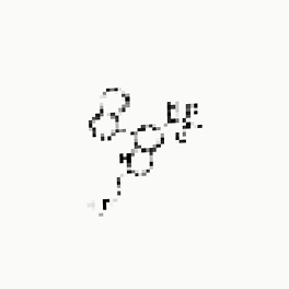 CS(=O)(=O)Nc1cc(-c2cccc3ccccc23)c2nc(/C=C/P)ccc2c1